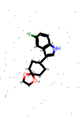 Fc1ccc2[nH]cc(C3CCC4(CC3)OCCO4)c2c1